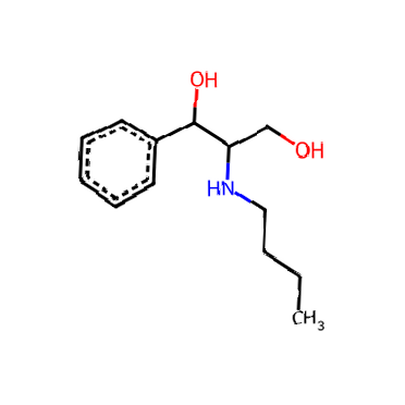 CCCCNC(CO)C(O)c1ccccc1